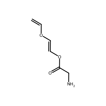 C=COC=COC(=O)CN